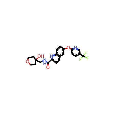 O=C(NCC1(O)CCOCC1)c1ccc2cc(Oc3ccc(C(F)(F)F)cn3)ccc2n1